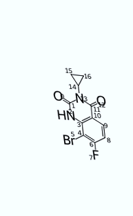 O=c1[nH]c2c(Br)c(F)ccc2c(=O)n1C1CC1